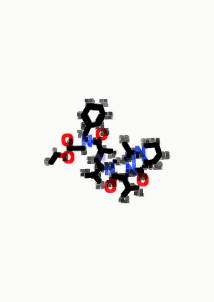 CCOC(=O)CN(Cc1ccccc1)C(=O)/C(C)=C/[C@H](C(C)C)N(C)C(=O)[C@@H](NC(=O)[C@H]1CCCCN1C(C)C)C(C)C